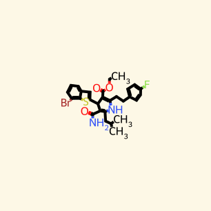 CCOC(=O)C1=C(CCc2ccc(F)cc2)NC(CC(C)C)=C(C(N)=O)C1c1cc2cccc(Br)c2s1